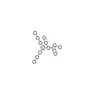 c1ccc(-c2ccc(-c3ccc(-c4nc(-c5ccc(-c6ccc(-c7ccccc7)cc6)cc5)nc(-c5ccc(-n6c7cc8ccccc8cc7c7c(-c8ccccc8)cccc76)cc5-c5ccc6c(c5)sc5ccccc56)n4)cc3)cc2)cc1